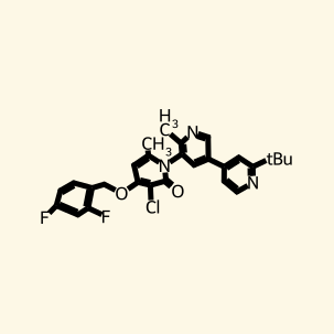 Cc1ncc(-c2ccnc(C(C)(C)C)c2)cc1-n1c(C)cc(OCc2ccc(F)cc2F)c(Cl)c1=O